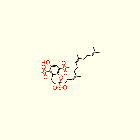 CC(C)=CCCC(C)=CCCC(C)=CCCC1(S(C)(=O)=O)CCc2c(c(S(C)(=O)=O)cc(O)c2S(C)(=O)=O)O1